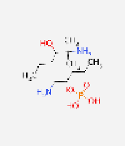 CCCC(O)C(C)(C)N.CCCCCN.O=P(O)(O)O